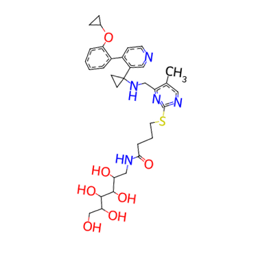 Cc1cnc(SCCCC(=O)NCC(O)C(O)C(O)C(O)CO)nc1CNC1(c2cnccc2-c2ccccc2OC2CC2)CC1